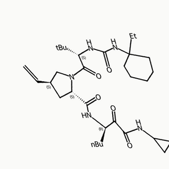 C=C[C@@H]1C[C@@H](C(=O)N[C@H](CCCC)C(=O)C(=O)NC2CC2)N(C(=O)[C@@H](NC(=O)NC2(CC)CCCCC2)C(C)(C)C)C1